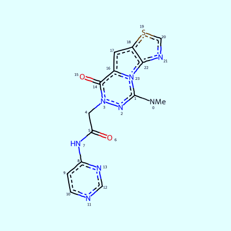 CNc1nn(CC(=O)Nc2ccncn2)c(=O)c2cc3scnc3n12